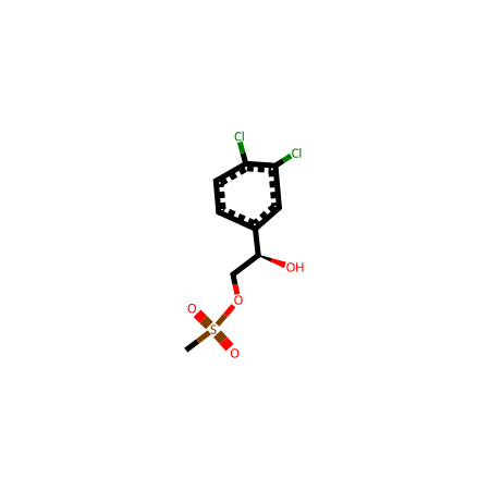 CS(=O)(=O)OC[C@H](O)c1ccc(Cl)c(Cl)c1